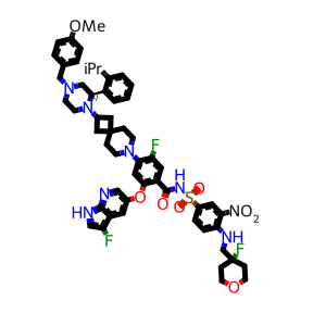 COc1ccc(CN2CCN(C3CC4(CCN(c5cc(Oc6cnc7[nH]cc(F)c7c6)c(C(=O)NS(=O)(=O)c6ccc(NCC7(F)CCOCC7)c([N+](=O)[O-])c6)cc5F)CC4)C3)[C@H](c3ccccc3C(C)C)C2)cc1